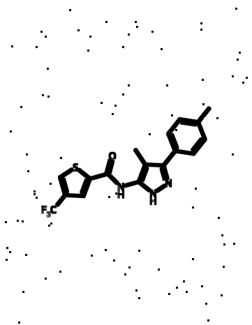 Cc1ccc(-c2n[nH]c(NC(=O)c3cc(C(F)(F)F)cs3)c2C)cc1